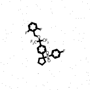 O=S(=O)(c1ccc(F)cc1)C1(c2ccc(C(OCc3c(F)cccc3F)(C(F)(F)F)C(F)(F)F)cc2)C[CH]CC1